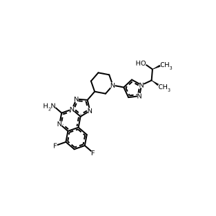 C[C@H](O)[C@@H](C)n1cc(N2CCCC(c3nc4c5cc(F)cc(F)c5nc(N)n4n3)C2)cn1